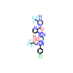 O=C(c1ncccc1-n1cnc(Cn2nc(-c3ccc(Cl)cc3)n(C[C@H](O)C(F)(F)F)c2=O)n1)N1CCNC(C(F)(F)F)C1